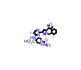 CCNC(=O)N1CCC(Nc2nc(-c3cc(-c4ccon4)n(Cc4ccccc4F)n3)ncc2F)(C(=O)O)CC1